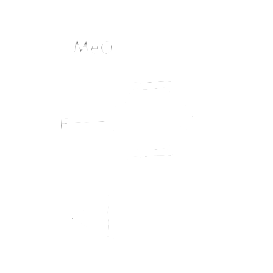 COc1cccc(C2[CH]C2)c1F